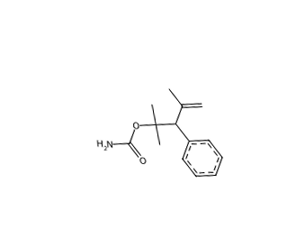 C=C(C)C(c1ccccc1)C(C)(C)OC(N)=O